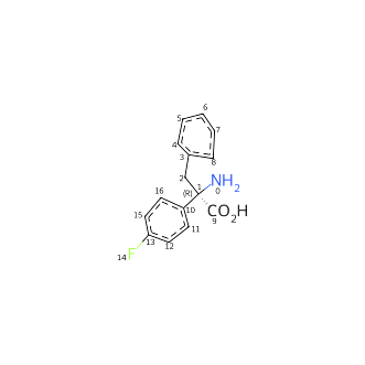 N[C@@](Cc1ccccc1)(C(=O)O)c1ccc(F)cc1